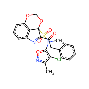 Cc1noc(N(C)S(=O)(=O)C23OCOc4cccc(c42)N=C3C(=O)Cc2ccccc2)c1Cl